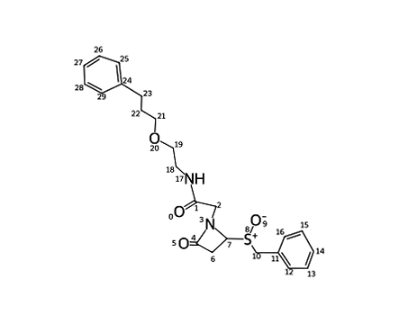 O=C(CN1C(=O)CC1[S+]([O-])Cc1ccccc1)NCCOCCCc1ccccc1